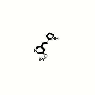 CC(C)Oc1cncc(C=C[C@@H]2CCCN2)c1